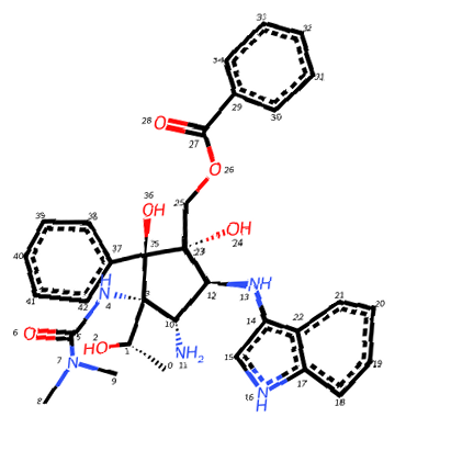 C[C@H](O)[C@]1(NC(=O)N(C)C)[C@@H](N)[C@H](Nc2c[nH]c3ccccc23)[C@](O)(COC(=O)c2ccccc2)[C@@]1(O)c1ccccc1